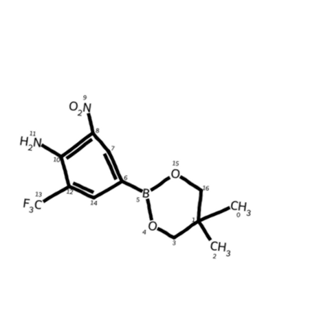 CC1(C)COB(c2cc([N+](=O)[O-])c(N)c(C(F)(F)F)c2)OC1